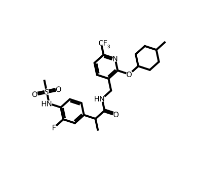 CC1CCC(Oc2nc(C(F)(F)F)ccc2CNC(=O)C(C)c2ccc(NS(C)(=O)=O)c(F)c2)CC1